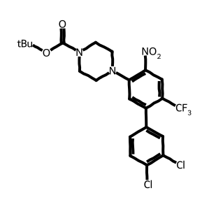 CC(C)(C)OC(=O)N1CCN(c2cc(-c3ccc(Cl)c(Cl)c3)c(C(F)(F)F)cc2[N+](=O)[O-])CC1